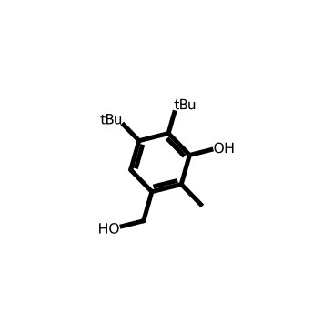 Cc1c(CO)cc(C(C)(C)C)c(C(C)(C)C)c1O